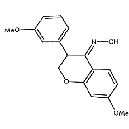 COc1cccc(C2COc3cc(OC)ccc3/C2=N\O)c1